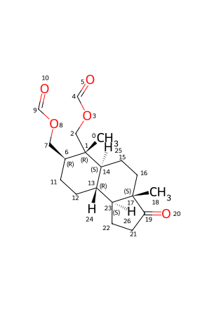 C[C@]1(COC=O)[C@H](COC=O)CC[C@@H]2[C@@H]1CC[C@]1(C)C(=O)CC[C@@H]21